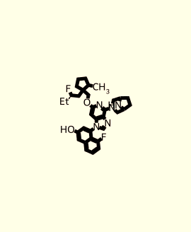 CC[C@H](F)CC1(COc2cc3c(ncn3-c3cc(O)cc4cccc(F)c34)c(N3CC4CCC(C3)N4)n2)CCCC1C